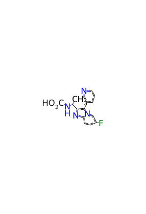 CC(NC(=O)O)c1nc2ccc(F)cn2c1-c1cccnc1